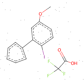 COc1ccc(I)c(-c2ccccc2)c1.O=C(O)C(F)(F)F